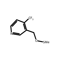 CSOCc1cnccc1C(F)(F)F